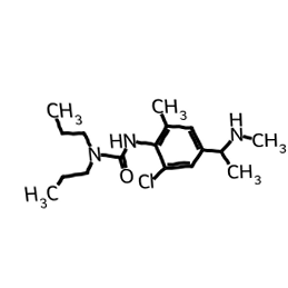 CCCN(CCC)C(=O)Nc1c(C)cc(C(C)NC)cc1Cl